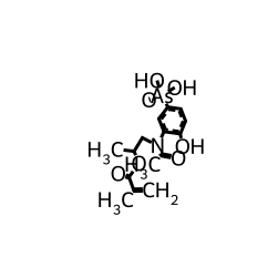 C=C(C)C(=O)OC(C)CN(C(C)=O)c1cc([As](=O)(O)O)ccc1O